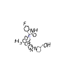 CC1(C)O/C(=C2/C(=O)Nc3cc(F)ccc32)C=C1c1ccnc(N2CCCC(CO)C2)c1